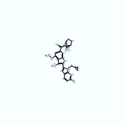 COc1cc(C(=O)N2CC3CCC2[C@@H]3C)cc2sc(-c3cc4ccc(Cl)nc4n3CC3CC3)c(C)c12